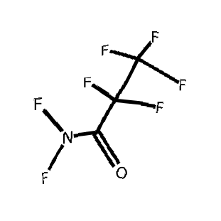 O=C(N(F)F)C(F)(F)C(F)(F)F